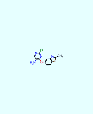 Cc1nc2cc(Oc3nc(Cl)ncc3N)ccc2s1